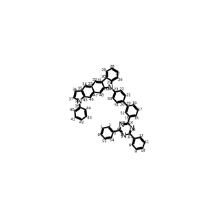 c1ccc(-c2nc(-c3ccccc3)nc(-c3cccc(-c4ccc(-n5c6ccccc6c6cc7cc8ccn(-c9ccccc9)c8cc7cc65)cc4)c3)n2)cc1